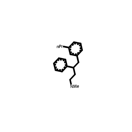 CCCc1cccc(CC(CCNC)c2ccccc2)c1